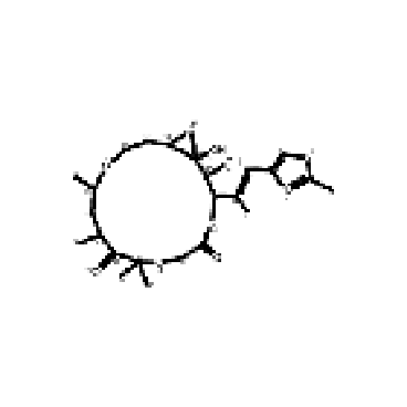 CC(=Cc1csc(C)n1)C1OC(=O)CCC(C)(C)C(=O)C(C)CC(C)OCCC2OC2(O)C1O